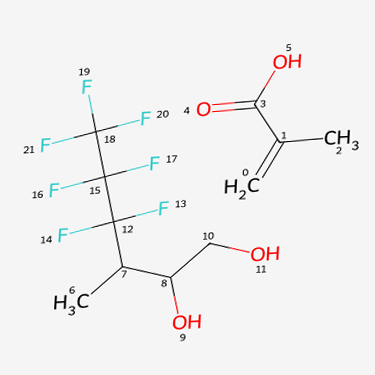 C=C(C)C(=O)O.CC(C(O)CO)C(F)(F)C(F)(F)C(F)(F)F